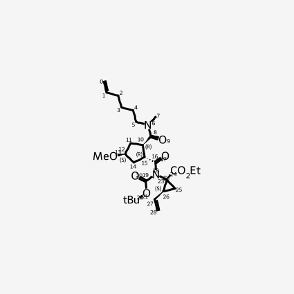 C=CCCCCN(C)C(=O)[C@@H]1C[C@H](OC)C[C@H]1C(=O)N(C(=O)OC(C)(C)C)[C@]1(C(=O)OCC)C[C@H]1C=C